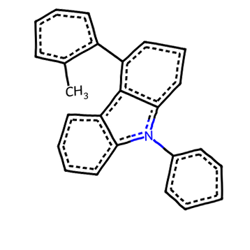 Cc1ccccc1-c1cccc2c1c1ccccc1n2-c1ccccc1